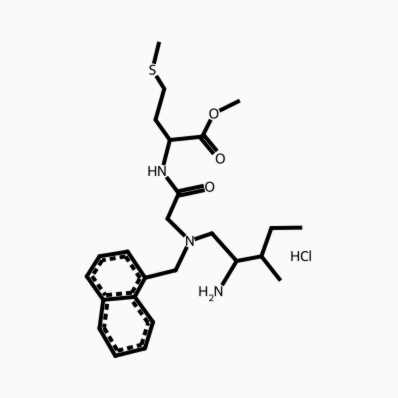 CCC(C)C(N)CN(CC(=O)NC(CCSC)C(=O)OC)Cc1cccc2ccccc12.Cl